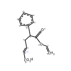 C=COC(=O)C(C/C=C/C(=O)O)c1ccccc1